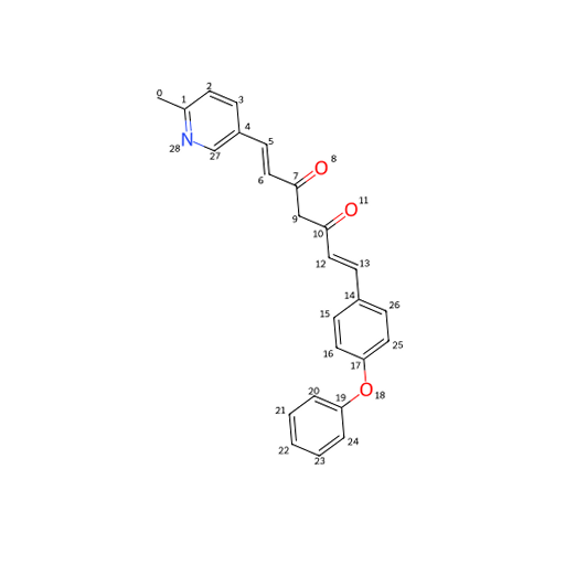 Cc1ccc(C=CC(=O)CC(=O)C=Cc2ccc(Oc3ccccc3)cc2)cn1